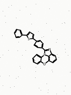 c1ccc(-c2ccc(-c3ccc(-c4nc5cccc6c5n4-c4ccccc4O6)cc3)s2)cc1